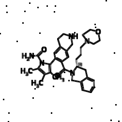 Cc1c(C)c(-c2cc3c(cc2C(=O)N2Cc4ccccc4C[C@H]2CCCN2CCOCC2)CNCC3)n(C(N)=O)c1C